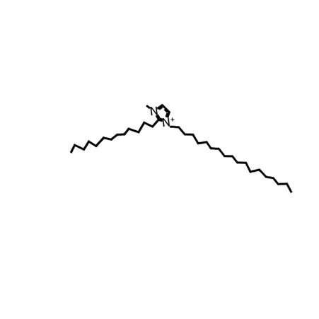 CCCCCCCCCCCCCCCCCCC[n+]1ccn(C)c1CCCCCCCCCCCCC